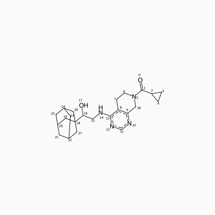 O=C(C1CC1)N1CCc2c(ncnc2NCC(O)C23CC4CC(CC(C4)C2)C3)C1